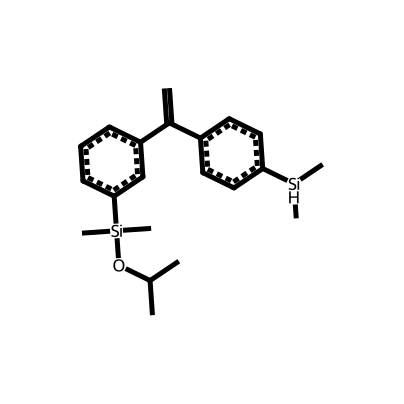 C=C(c1ccc([SiH](C)C)cc1)c1cccc([Si](C)(C)OC(C)C)c1